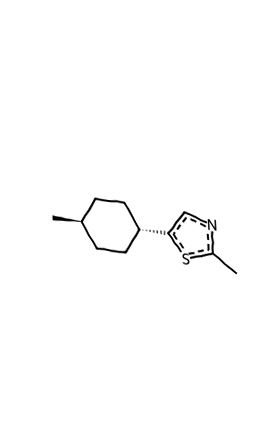 Cc1ncc([C@H]2CC[C@H](C)CC2)s1